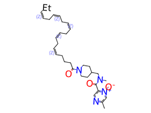 CC/C=C\C/C=C\C/C=C\C/C=C\C/C=C\CCCC(=O)N1CCC(CN(C)C(=O)c2cnc(C)c[n+]2[O-])CC1